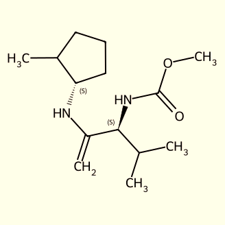 C=C(N[C@H]1CCCC1C)[C@@H](NC(=O)OC)C(C)C